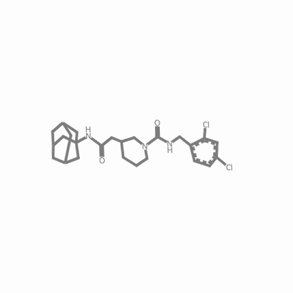 O=C(CC1CCCN(C(=O)NCc2ccc(Cl)cc2Cl)C1)NC12CC3CC(CC(C3)C1)C2